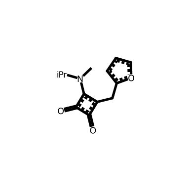 CC(C)N(C)c1c(Cc2ccco2)c(=O)c1=O